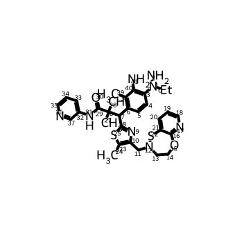 CCN(N)c1ccc(C(c2nc(CN3CCOc4ncccc4S3)c(C)s2)C(C)(C)C(=O)Nc2cccnc2)c(C)c1N